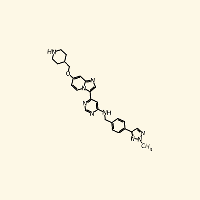 Cn1ncc(-c2ccc(CNc3cc(-c4cnc5cc(OCC6CCNCC6)ccn45)ncn3)cc2)n1